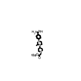 CC1CN(c2ccc(C(=N)N)cc2)CCN1C1CCN(CC(=O)OC(C)(C)C)CC1